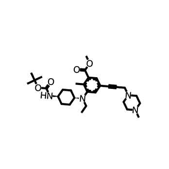 CCN(c1cc(C#CCN2CCN(C)CC2)cc(C(=O)OC)c1C)[C@H]1CC[C@H](NC(=O)OC(C)(C)C)CC1